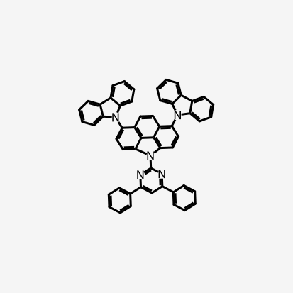 c1ccc(-c2cc(-c3ccccc3)nc(-n3c4ccc(-n5c6ccccc6c6ccccc65)c5ccc6c(-n7c8ccccc8c8ccccc87)ccc3c6c54)n2)cc1